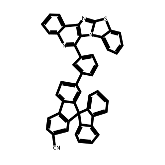 N#Cc1ccc2c(c1)C1(c3ccccc3-c3ccccc31)c1cc(-c3cccc(-c4nc5ccccc5c5nc6sc7ccccc7n6c45)c3)ccc1-2